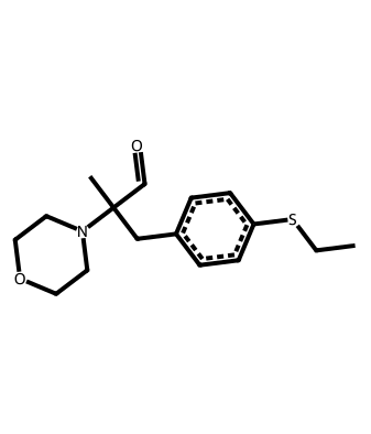 CCSc1ccc(CC(C)(C=O)N2CCOCC2)cc1